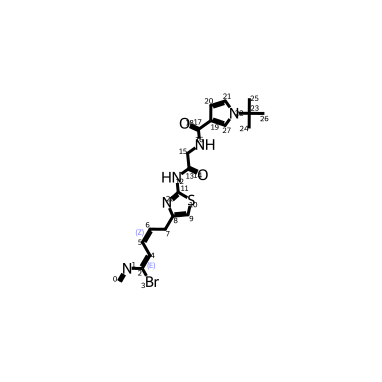 C=N/C(Br)=C\C=C/Cc1csc(NC(=O)CNC(=O)c2ccn(C(C)(C)C)c2)n1